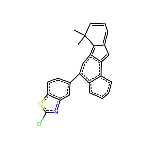 CC1(C)C=CC=C2C=c3c(cc(-c4ccc5sc(Cl)nc5c4)c4ccccc34)=C21